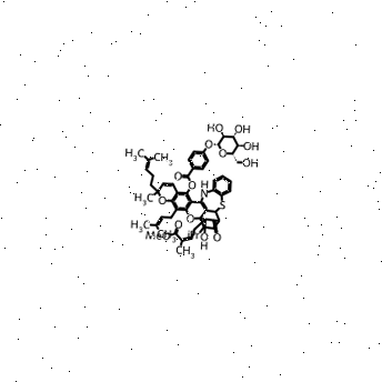 COC(=O)/C(C)=C\CC1(O)C(=O)C2CC(C(C)C)C13Oc1c(CC=C(C)C)c4c(c(OC(=O)c5ccc(O[C@H]6O[C@@H](CO)[C@H](O)[C@@H](O)[C@@H]6O)cc5)c1C1=C3C2Sc2ccccc2N1)C=CC(C)(CCC=C(C)C)O4